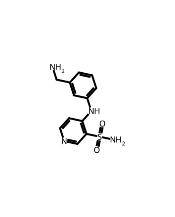 NCc1cccc(Nc2ccncc2S(N)(=O)=O)c1